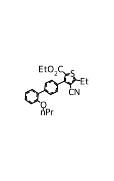 CCCOc1ccccc1-c1ccc(-c2c(C(=O)OCC)sc(CC)c2C#N)cc1